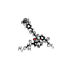 CCCNC(=O)c1cn2ncnc(N(C(=O)OCOC(=O)Cc3ccc(OP(=O)(O)O)cc3)c3cc(C(=O)NCC)ccc3C)c2c1C